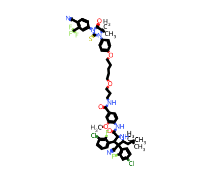 COc1cc(C(=O)NCCCOCCCCCOc2ccc(N3C(=S)N(c4ccc(C#N)c(C(F)(F)F)c4)C(=O)C3(C)C)cc2)ccc1NC(=O)C1NC(CC(C)(C)C)C(C#N)(c2ccc(Cl)cc2F)C1c1cccc(Cl)c1F